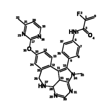 C=C(F)C(=O)Nc1ccc(C2=C3c4ccc(Oc5nccc(C)n5)cc4CNC4N=CN=C(C34)N2C)cc1